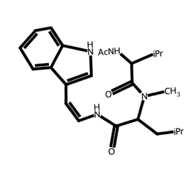 CC(=O)NC(C(=O)N(C)C(CC(C)C)C(=O)N/C=C\c1c[nH]c2ccccc12)C(C)C